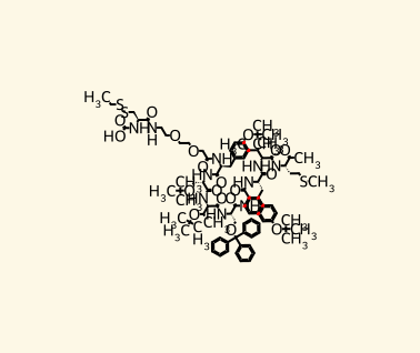 CCSSC[C@H](NC(=O)O)C(=O)NCCOCCOCC(=O)N[C@@H](Cc1ccc(OC(C)(C)C)cc1)C(=O)N[C@@H](COC(C)(C)C)C(=O)N[C@H](C(=O)N[C@@H](COC(c1ccccc1)(c1ccccc1)c1ccccc1)C(=O)N[C@@H](Cc1ccc(OC(C)(C)C)cc1)C(=O)N[C@@H](Cc1ccccc1)C(=O)N[C@H](C(=O)N[C@@H](CCSC)C(C)=O)C(C)CC)C(C)OC(C)(C)C